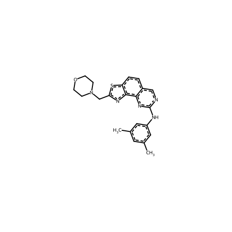 Cc1cc(C)cc(Nc2ncc3ccc4sc(CN5CCOCC5)nc4c3n2)c1